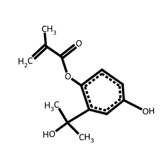 C=C(C)C(=O)Oc1ccc(O)cc1C(C)(C)O